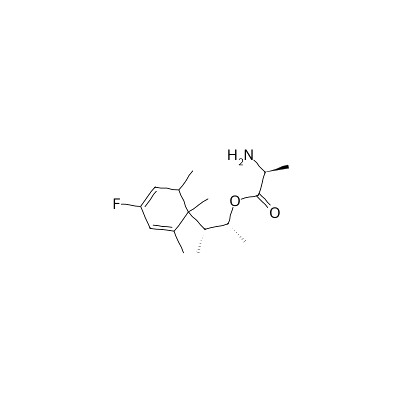 CC1=CC(F)=CC(C)C1(C)[C@@H](C)[C@@H](C)OC(=O)[C@H](C)N